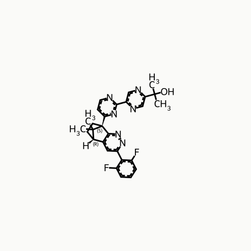 CC(C)(O)c1cnc(-c2nccc([C@@]34CC[C@@H](c5cc(-c6c(F)cccc6F)nnc53)C4(C)C)n2)cn1